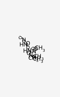 CCN(CCN(C)C)C(=O)c1cnc2c(OC)cccc2c1Nc1ccc(C(=O)NC2CCN(Cc3ccccc3)CC2)cc1